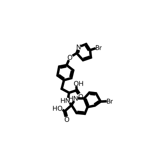 O=C(O)C(Cc1ccc(Oc2ccc(Br)cn2)cc1)NC1(C(=O)O)C=Cc2cc(Br)ccc2N1